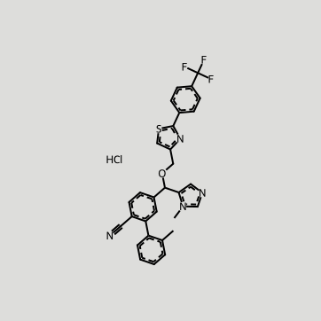 Cc1ccccc1-c1cc(C(OCc2csc(-c3ccc(C(F)(F)F)cc3)n2)c2cncn2C)ccc1C#N.Cl